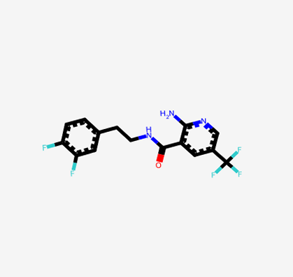 Nc1ncc(C(F)(F)F)cc1C(=O)NCCc1ccc(F)c(F)c1